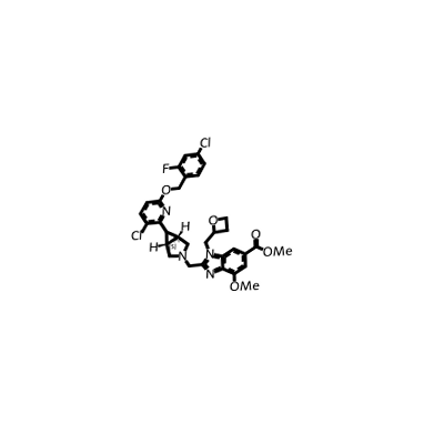 COC(=O)c1cc(OC)c2nc(CN3C[C@@H]4C(c5nc(OCc6ccc(Cl)cc6F)ccc5Cl)[C@@H]4C3)n(CC3CCO3)c2c1